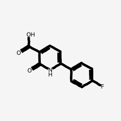 O=C(O)c1ccc(-c2ccc(F)cc2)[nH]c1=O